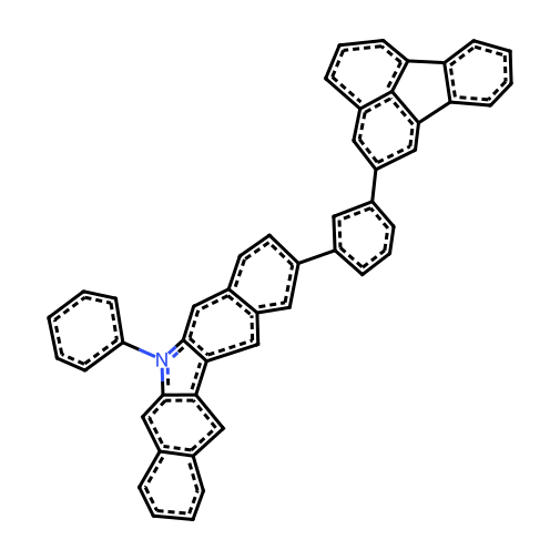 c1ccc(-n2c3cc4ccccc4cc3c3cc4cc(-c5cccc(-c6cc7c8c(cccc8c6)-c6ccccc6-7)c5)ccc4cc32)cc1